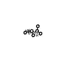 C1=C(c2ccccc2)C=C(c2ccccc2)NC1n1c2c(c3ccccc31)C1=C(CC2)NC(c2ccccc2)O1